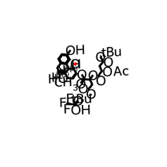 CC(=O)OC(CC(=O)OC(C)(C)C)C(=O)OC(CC(=O)OC(C)(C)C)C(=O)OC1=CC[C@@]2(O)[C@H]3Cc4ccc(O)c5c4[C@@]2(CCN3C)[C@H]1O5.O=C(O)C(F)(F)F